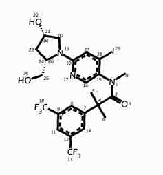 CN(C(=O)C(C)(C)c1cc(C(F)(F)F)cc(C(F)(F)F)c1)c1cnc(N2C[C@@H](O)C[C@H]2CO)cc1I